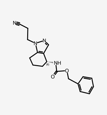 N#CCCn1ncc2c1CCC[C@H]2NC(=O)OCc1ccccc1